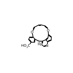 O=C(O)c1ccc2occccccoc3ccc4ncnc([nH]c2c1)c4c3